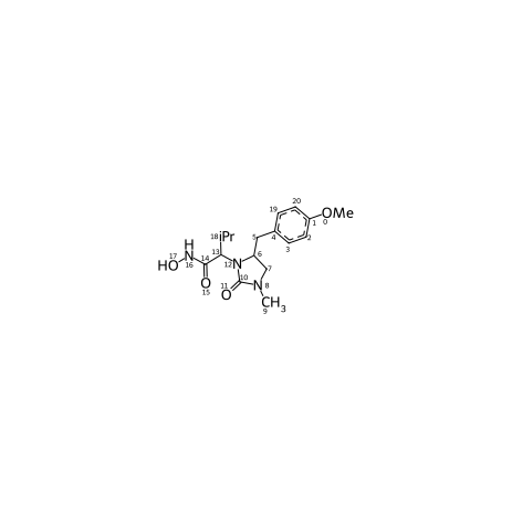 COc1ccc(CC2CN(C)C(=O)N2C(C(=O)NO)C(C)C)cc1